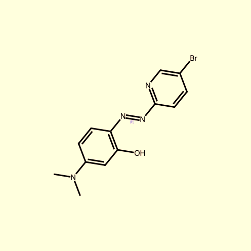 CN(C)c1ccc(/N=N/c2ccc(Br)cn2)c(O)c1